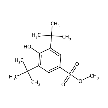 COS(=O)(=O)c1cc(C(C)(C)C)c(O)c(C(C)(C)C)c1